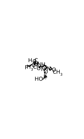 CCC(CC)(NC(=O)c1ccc(N2CC(OC)C2)c(OC[C@@H]2C[C@H]2CO)n1)C(=O)OCCCF